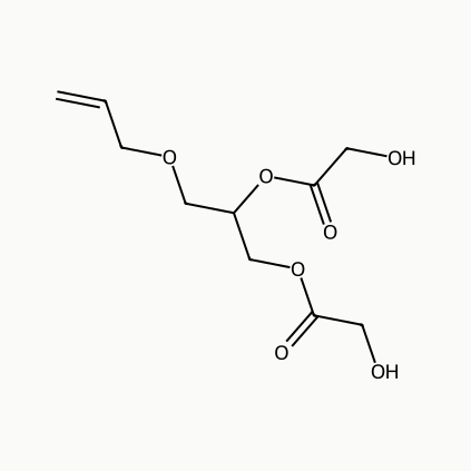 C=CCOCC(COC(=O)CO)OC(=O)CO